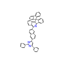 c1ccc(-c2cc(-c3ccc4cc(-c5nc6c(c7ccccc57)C5(c7ccccc7-c7ccccc75)c5ccccc5-6)ccc4c3)nc(-c3ccccc3)n2)cc1